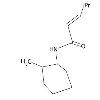 CC(C)C=CC(=O)NC1CCCCC1C